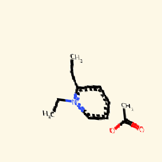 CC(=O)[O-].CCc1cccc[n+]1CC